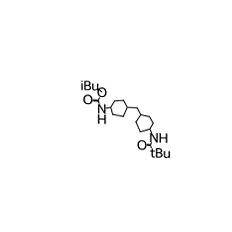 CCC(C)OC(=O)NC1CCC(CC2CCC(NC(=O)C(C)(C)C)CC2)CC1